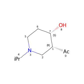 CC(=O)[C@@H]1CN(C(C)C)CC[C@@H]1O